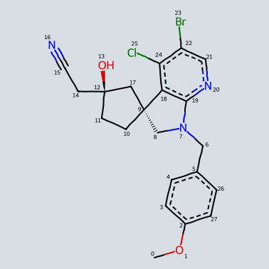 COc1ccc(CN2C[C@@]3(CC[C@](O)(CC#N)C3)c3c2ncc(Br)c3Cl)cc1